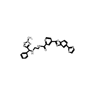 Cn1nnc(C(NCCNC(=O)c2cc(-c3nc4cc(-c5nccs5)ccc4o3)ccn2)c2ccccc2)n1